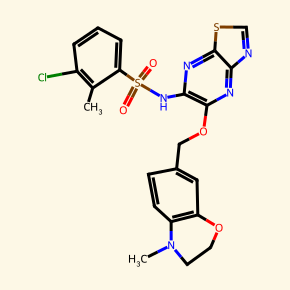 Cc1c(Cl)cccc1S(=O)(=O)Nc1nc2scnc2nc1OCc1ccc2c(c1)OCCN2C